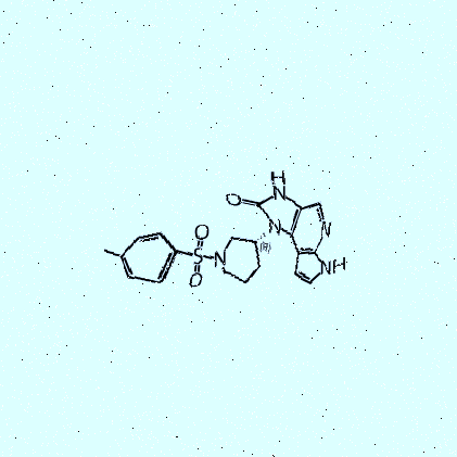 Cc1ccc(S(=O)(=O)N2CCC[C@@H](n3c(=O)[nH]c4cnc5[nH]ccc5c43)C2)cc1